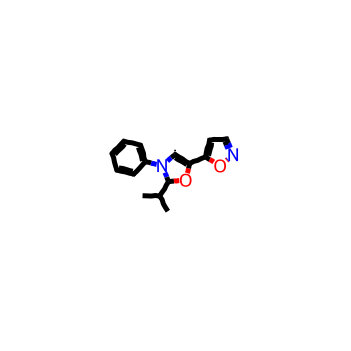 CC(C)C1OC(c2ccno2)=[C]N1c1ccccc1